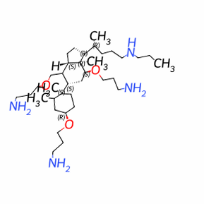 CCCNCCC[C@@H](C)[C@H]1CC[C@H]2C(COCCCN)[C@@H]([C@@]3(C)CC[C@@H](OCCCN)CC3C)C[C@H](OCCCN)[C@]12C